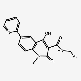 CC(=O)CNC(=O)c1c(O)c2cc(-c3ccccn3)ccc2n(C)c1=O